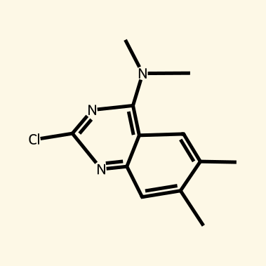 Cc1cc2nc(Cl)nc(N(C)C)c2cc1C